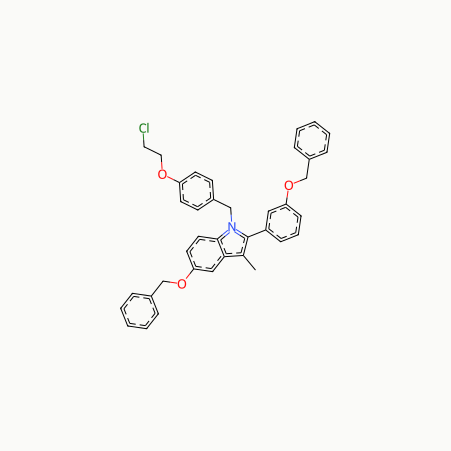 Cc1c(-c2cccc(OCc3ccccc3)c2)n(Cc2ccc(OCCCl)cc2)c2ccc(OCc3ccccc3)cc12